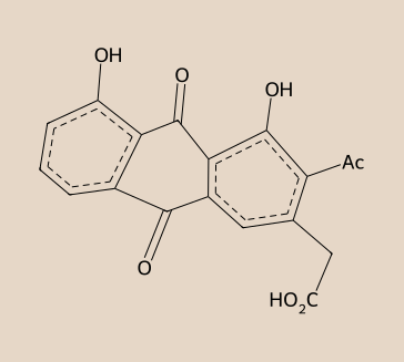 CC(=O)c1c(CC(=O)O)cc2c(c1O)C(=O)c1c(O)cccc1C2=O